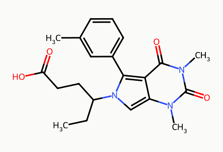 CCC(CCC(=O)O)n1cc2c(c1-c1cccc(C)c1)c(=O)n(C)c(=O)n2C